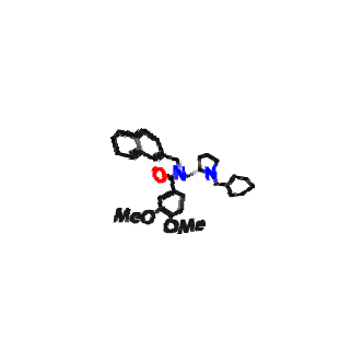 COc1ccc(C(=O)N(Cc2ccc3ccccc3c2)C[C@@H]2CCCN2CC2CCCCC2)cc1OC